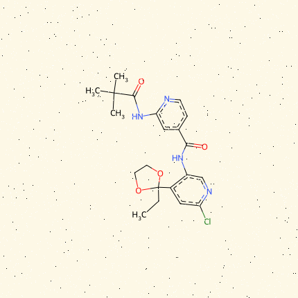 CCC1(c2cc(Cl)ncc2NC(=O)c2ccnc(NC(=O)C(C)(C)C)c2)OCCO1